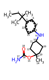 CCC(C)(C)c1ccc(NC2CCC(C)(OC(N)=O)CC2)cc1